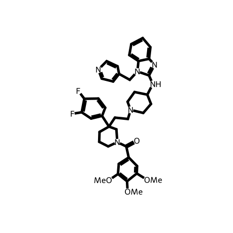 COc1cc(C(=O)N2CCCC(CCN3CCC(Nc4nc5ccccc5n4Cc4ccncc4)CC3)(c3ccc(F)c(F)c3)C2)cc(OC)c1OC